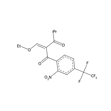 CCO/C=C(\C(=O)c1ccc(C(F)(F)C(F)(F)F)cc1[N+](=O)[O-])C(=O)C(C)C